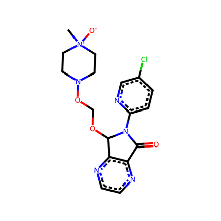 C[N+]1([O-])CCN(OCOC2c3nccnc3C(=O)N2c2ccc(Cl)cn2)CC1